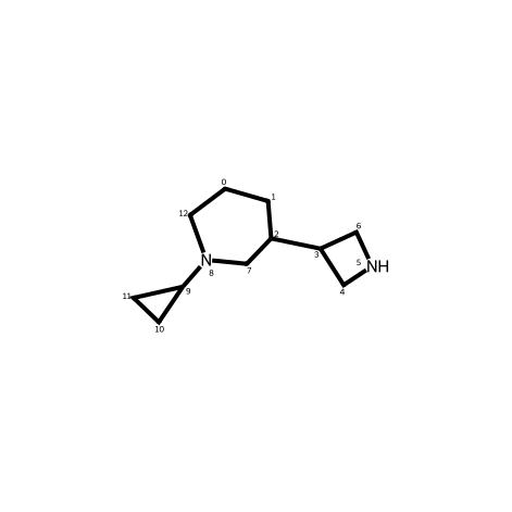 C1CC(C2CNC2)CN(C2CC2)C1